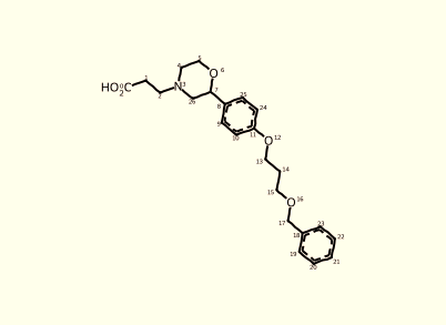 O=C(O)CCN1CCOC(c2ccc(OCCCOCc3ccccc3)cc2)C1